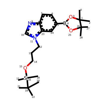 CC1(C)OB(c2ccc3ncn(CCCO[Si](C)(C)C(C)(C)C)c3c2)OC1(C)C